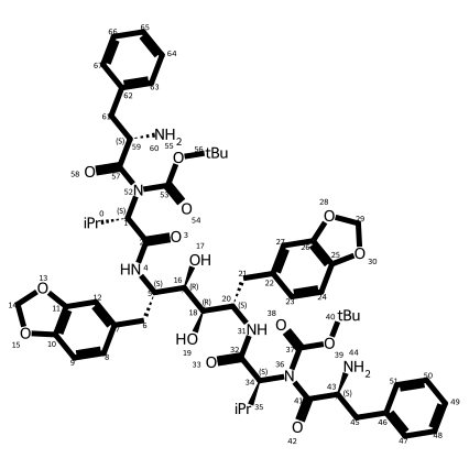 CC(C)[C@@H](C(=O)N[C@@H](Cc1ccc2c(c1)OCO2)[C@@H](O)[C@H](O)[C@H](Cc1ccc2c(c1)OCO2)NC(=O)[C@H](C(C)C)N(C(=O)OC(C)(C)C)C(=O)[C@@H](N)Cc1ccccc1)N(C(=O)OC(C)(C)C)C(=O)[C@@H](N)Cc1ccccc1